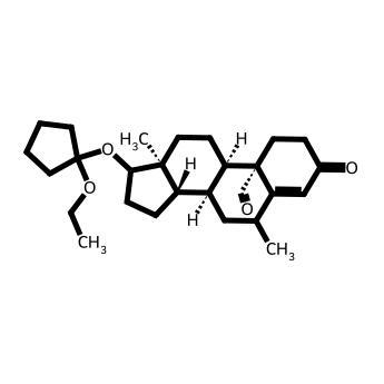 CCOC1(OC2CC[C@H]3[C@@H]4CC(C)C5=CC(=O)CC[C@]5(C=O)[C@@H]4CC[C@]23C)CCCC1